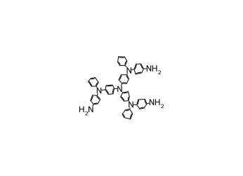 Nc1ccc(N(c2ccccc2)c2ccc(N(c3ccc(N(c4ccccc4)c4ccc(N)cc4)cc3)c3ccc(N(c4ccccc4)c4ccc(N)cc4)cc3)cc2)cc1